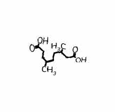 CC(CCC(=O)O)CCC(C)CC(=O)O